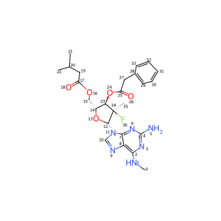 CNc1nc(N)nc2c1ncn2[C@@H]1O[C@H](COC(=O)CC(C)C)[C@@H](OC(=O)Cc2ccccc2)[C@@]1(C)F